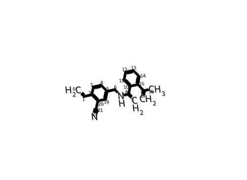 C=Cc1ccc(CNC(=C)c2ccccc2C(=C)C)cc1C#N